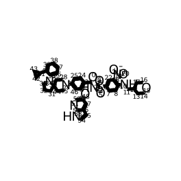 O=C(NS(=O)(=O)c1ccc(NCC2CCOCC2)c([N+](=O)[O-])c1)c1ccc(N2CCC3(CCCN3c3ccccc3C3CC3)CC2)cc1Oc1cnc2[nH]ccc2c1